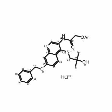 CC(=O)OCC(=O)Nc1cnc2cc(OCc3ccccc3)ccc2c1NCC(C)(C)O.Cl